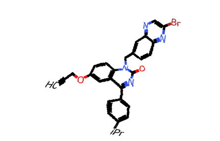 C#CCOc1ccc2c(c1)c(-c1ccc(C(C)C)cc1)nc(=O)n2Cc1ccc2nc(Br)cnc2c1